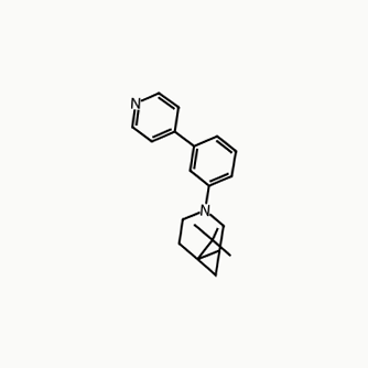 CC(C)(C)C12CCN(c3cccc(-c4ccncc4)c3)CC1C2